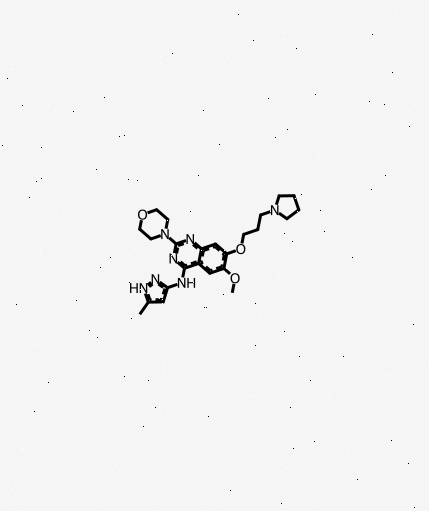 COc1cc2c(Nc3cc(C)[nH]n3)nc(N3CCOCC3)nc2cc1OCCCN1CCCC1